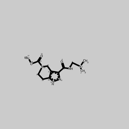 CN(C)CNC(=O)c1n[nH]c2c1CN(C(=O)OC(C)(C)C)CC2